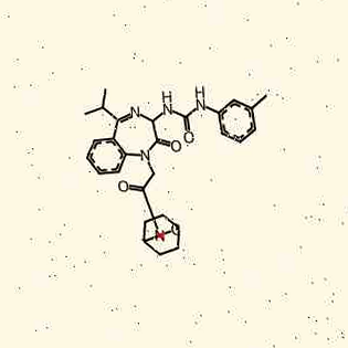 Cc1cccc(NC(=O)NC2N=C(C(C)C)c3ccccc3N(CC(=O)N3CC4CCC(CC4)C3)C2=O)c1